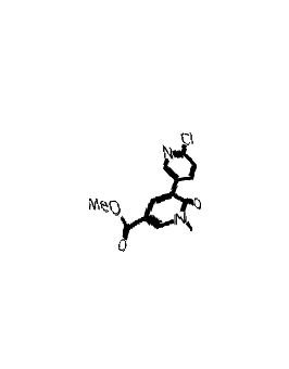 COC(=O)c1cc(-c2ccc(Cl)nc2)c(=O)n(C)c1